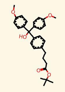 COc1ccc(C(O)(c2ccc(CCCC(=O)OC(C)(C)C)cc2)c2ccc(OC)cc2)cc1